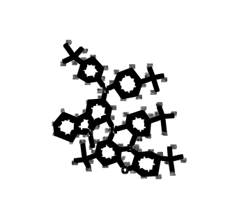 Cn1c2ccccc2c2cc(N(c3ccc(C(C)(C)C)cc3)c3ccc(C(C)(C)C)cc3)cc(N3c4ccc(C(C)(C)C)cc4B4c5cc(C(C)(C)C)ccc5Oc5cc(C(C)(C)C)cc3c54)c21